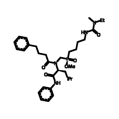 CCN(C)C(=O)NCCCC[P@](=O)(CN(C(=O)CCCc1ccccc1)[C@@H](CC(C)C)C(=O)Nc1ccccc1)OC